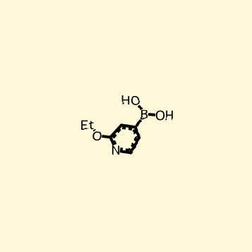 CCOc1cc(B(O)O)ccn1